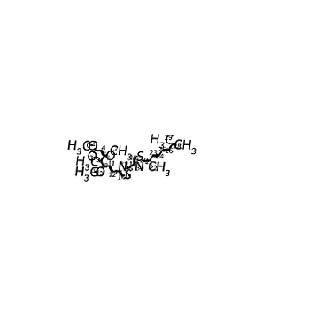 COC(=O)/C=C(/OC)[C@H](C)[C@H](/C=C/c1csc(-c2csc([C@@H](C)/C=C/C=C/C(C)C)n2)n1)OC